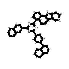 c1ccc2cc(-c3nc(-c4ccc(-c5cccc6ccccc56)cc4)nc(-c4cccc5c4ccc4c6cnccc6sc54)n3)ccc2c1